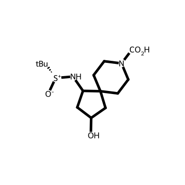 CC(C)(C)[S@@+]([O-])NC1CC(O)CC12CCN(C(=O)O)CC2